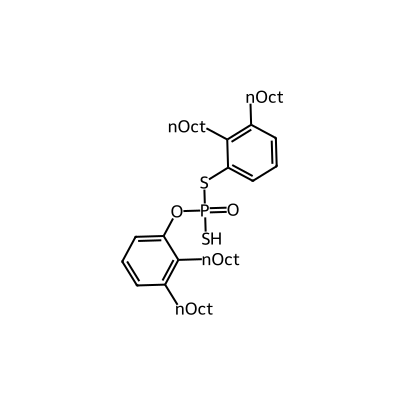 CCCCCCCCc1cccc(OP(=O)(S)Sc2cccc(CCCCCCCC)c2CCCCCCCC)c1CCCCCCCC